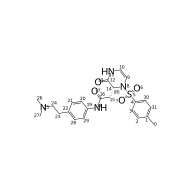 Cc1ccc(S(=O)(=O)N2C=CNC(=O)[C@H]2CC(=O)Nc2ccc(CCN(C)C)cc2)cc1